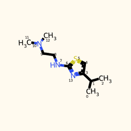 CC(C)c1csc(NCCN(C)C)n1